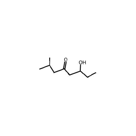 CCC(O)CC(=O)CC(C)C